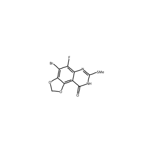 CSc1nc2c(F)c(Br)c3c(c2c(=O)[nH]1)OCO3